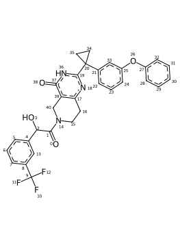 O=C(C(O)c1cccc(C(F)(F)F)c1)N1CCc2nc(C3(c4cccc(Oc5ccccc5)c4)CC3)[nH]c(=O)c2C1